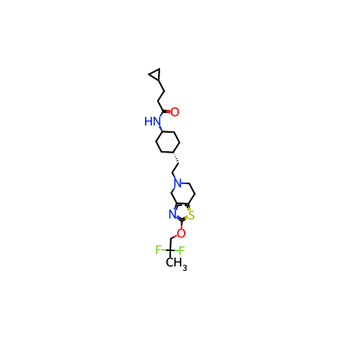 CC(F)(F)COc1nc2c(s1)CCN(CC[C@H]1CC[C@H](NC(=O)CCC3CC3)CC1)C2